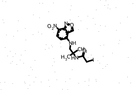 CC(C)(CNc1ccc([N+](=O)[O-])c2nocc12)NC(=O)CI